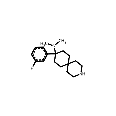 CN(C)C1(c2cccc(F)c2)CCC2(CCNCC2)CC1